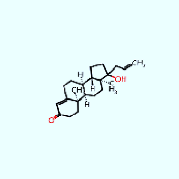 C=CCC1(O)CC[C@H]2[C@@H]3CCC4=CC(=O)CC[C@]4(C)[C@@H]3CC[C@@]21C